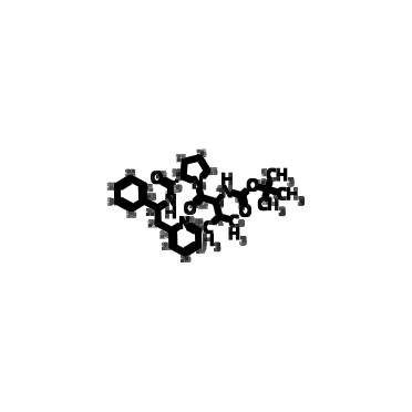 CC(C)[C@H](NC(=O)OC(C)(C)C)C(=O)N1CCC[C@H]1C(=O)NC(Cc1ccccn1)c1ccccc1